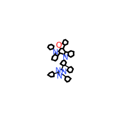 c1ccc(-c2nc(-c3ccccc3)nc(-c3ccc(-n4c5ccccc5c5c6c7ccccc7oc6c6c(c7ccccc7n6-c6ccccc6)c54)cc3-c3ccccc3)n2)cc1